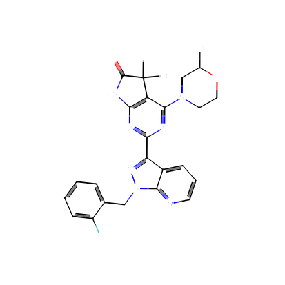 CC1(C)C(=O)Nc2nc(-c3nn(Cc4ccccc4F)c4ncccc34)nc(N3CCOC(C(F)(F)F)C3)c21